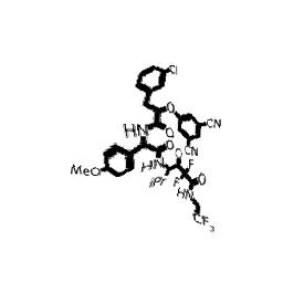 COc1ccc(C(NC(=O)C(Cc2cccc(Cl)c2)Oc2cc(C#N)cc(C#N)c2)C(=O)NC(C(=O)C(F)(F)C(=O)NCC(F)(F)F)C(C)C)cc1